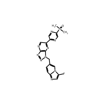 CP(C)(=O)c1cnc(-c2cnc3nnn(Cc4ccc5ncc(F)n5c4)c3n2)cn1